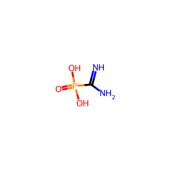 N=C(N)P(=O)(O)O